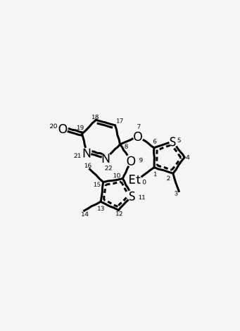 CCc1c(C)csc1OC1(Oc2scc(C)c2C)C=CC(=O)N=N1